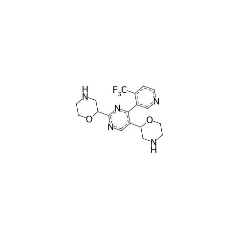 FC(F)(F)c1ccncc1-c1nc(C2CNCCO2)ncc1C1CNCCO1